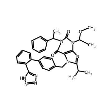 COC(C)n1c(=O)n(C(C)c2ccccc2)c(=O)c2c1nc(C(C)C)n2Cc1ccc(-c2ccccc2-c2nnn[nH]2)cc1